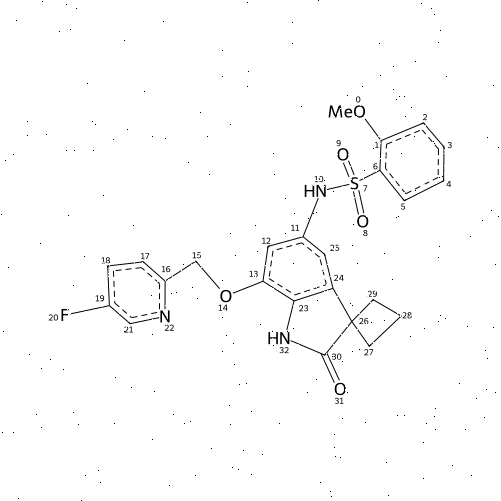 COc1ccccc1S(=O)(=O)Nc1cc(OCc2ccc(F)cn2)c2c(c1)C1(CCC1)C(=O)N2